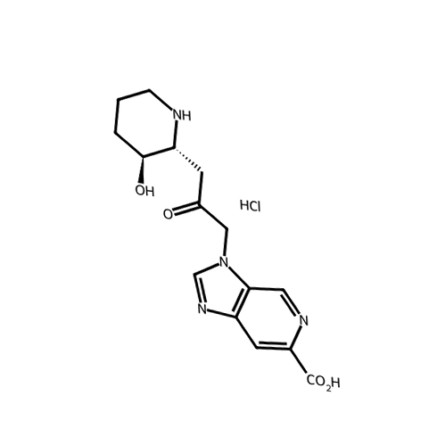 Cl.O=C(C[C@H]1NCCC[C@@H]1O)Cn1cnc2cc(C(=O)O)ncc21